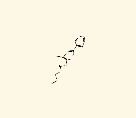 CCCCC(=O)Nc1sc(-c2cccnc2)nc1Cl